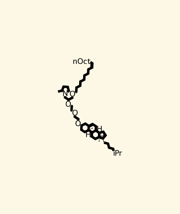 CCCCCCCC/C=C\CCCCCCCCOCC(CN1CCCC1C)OCCOCCO[C@H]1CC[C@@]2(C)C(=CC[C@H]3[C@@H]4CC[C@H](CCCCC(C)C)[C@@]4(C)CC[C@@H]32)C1